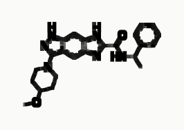 COC1CCN(c2n[nH]c3cc4[nH]c(C(=O)NC(C)c5ccccc5)nc4cc23)CC1